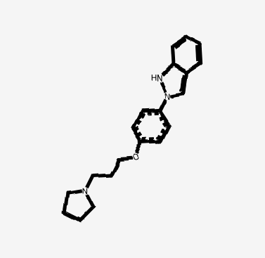 C1=CC2=CN(c3ccc(OCCCN4CCCC4)cc3)NC2C=C1